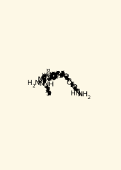 CCCCCNc1nc(N)nc2ccn(Cc3ccc(CN4CC(OCCOCCOCCNN)C4)cc3OC)c12